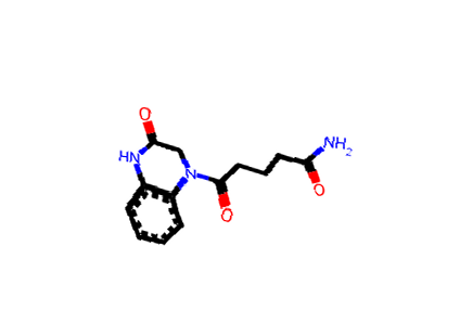 NC(=O)CCCC(=O)N1CC(=O)Nc2ccccc21